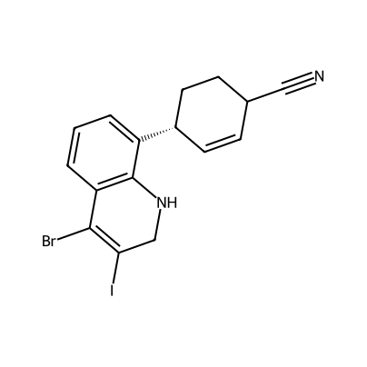 N#CC1C=C[C@H](c2cccc3c2NCC(I)=C3Br)CC1